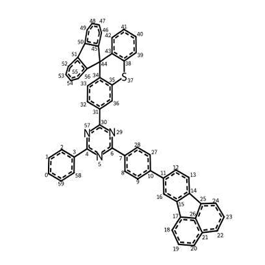 c1ccc(-c2nc(-c3ccc(-c4ccc5c(c4)-c4cccc6cccc-5c46)cc3)nc(-c3ccc4c(c3)Sc3ccccc3C43c4ccccc4-c4ccccc43)n2)cc1